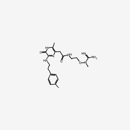 Cc1ccc(CCNc2nc(CC(=O)NCCON(C)C(=N)N)c(C)[nH]c2=O)cc1